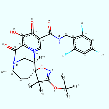 [2H]C([2H])([2H])OC1=NO[C@@]2(CC[C@H](C)N3C[C@H]2n2cc(C(=O)NCc4c(F)cc(F)cc4F)c(=O)c(O)c2C3=O)C1([2H])[2H]